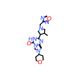 CC1CN(Cc2ncon2)CC1C1=NC2=CN(C3CCOCC3)CN2C(=O)N1